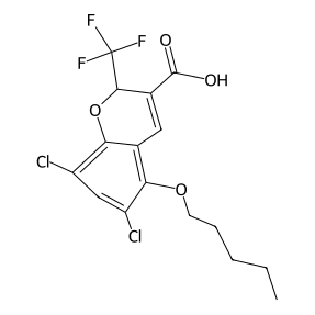 CCCCCOc1c(Cl)cc(Cl)c2c1C=C(C(=O)O)C(C(F)(F)F)O2